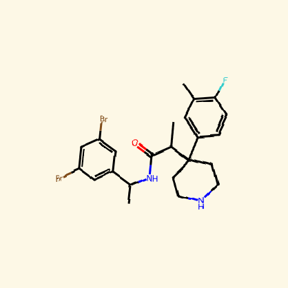 Cc1cc(C2(C(C)C(=O)NC(C)c3cc(Br)cc(Br)c3)CCNCC2)ccc1F